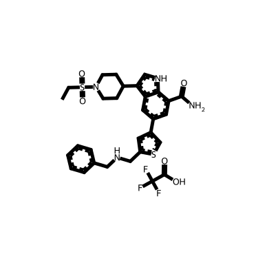 CCS(=O)(=O)N1CCC(c2c[nH]c3c(C(N)=O)cc(-c4csc(CNCc5ccccc5)c4)cc23)CC1.O=C(O)C(F)(F)F